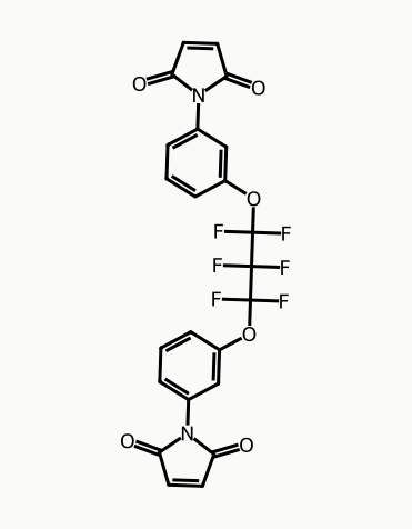 O=C1C=CC(=O)N1c1cccc(OC(F)(F)C(F)(F)C(F)(F)Oc2cccc(N3C(=O)C=CC3=O)c2)c1